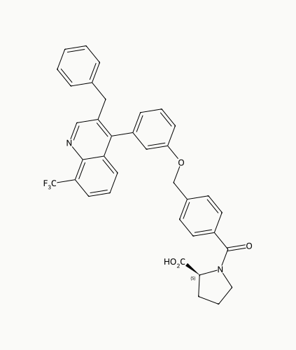 O=C(O)[C@@H]1CCCN1C(=O)c1ccc(COc2cccc(-c3c(Cc4ccccc4)cnc4c(C(F)(F)F)cccc34)c2)cc1